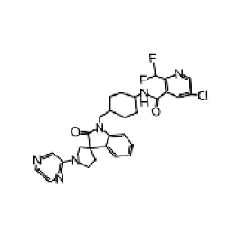 O=C(NC1CCC(CN2C(=O)C3(CCN(c4cnccn4)C3)c3ccccc32)CC1)c1cc(Cl)cnc1C(F)F